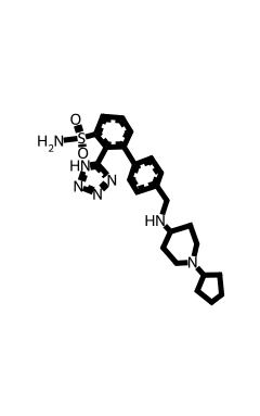 NS(=O)(=O)c1cccc(-c2ccc(CNC3CCN(C4CCCC4)CC3)cc2)c1-c1nnn[nH]1